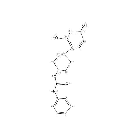 O=C(Nc1ccccc1)OC1CCC(c2ccc(O)cc2O)CC1